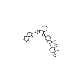 O=C1CCC(N2Cc3cc(O[C@@H]4CCCCC4N4CC(c5ccc6ccccc6n5)C4)ccc3C2=O)C(=O)N1